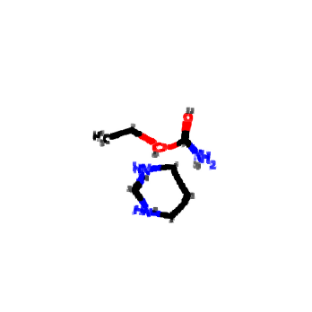 C1CNCNC1.CCOC(N)=O